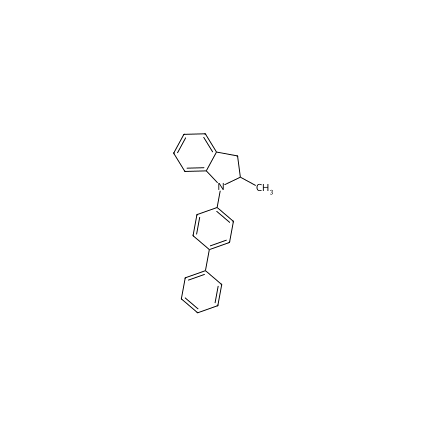 CC1Cc2ccccc2N1c1ccc(-c2ccccc2)cc1